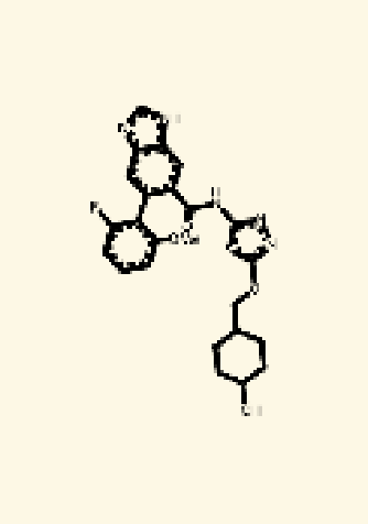 COc1cccc(F)c1-c1cc2nc[nH]c2cc1C(=O)Nc1nnc(OCC2CCC(O)CC2)s1